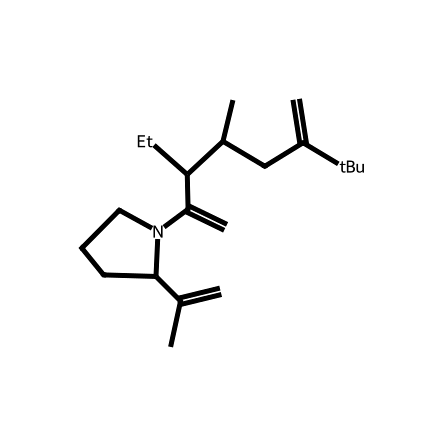 C=C(C)C1CCCN1C(=C)C(CC)C(C)CC(=C)C(C)(C)C